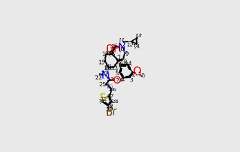 COc1cccc([C@@]23CCN(CC4CC4)C[C@@]2(O)CC[C@@H](N(C)C(=O)/C=C/c2cc(Br)cs2)C3)c1